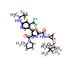 C[C@H](Nc1cc(C(F)F)c(-c2sc(C(=O)N[C@H]3C[C@H]3O[Si](C)(C)C(C)(C)C)nc2C(=O)N2CCC[C@@H]2C)cn1)C(F)(F)F